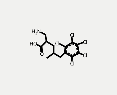 CC(Cc1c(Cl)c(Cl)c(Cl)c(Cl)c1Cl)CC(CN)C(=O)O